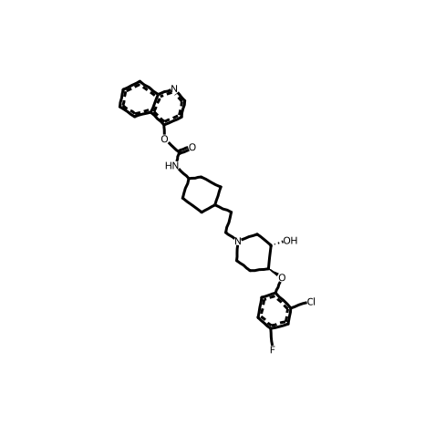 O=C(NC1CCC(CCN2CC[C@H](Oc3ccc(F)cc3Cl)[C@@H](O)C2)CC1)Oc1ccnc2ccccc12